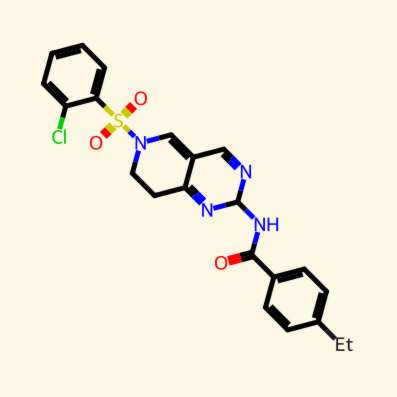 CCc1ccc(C(=O)NC2N=CC3=CN(S(=O)(=O)c4ccccc4Cl)CCC3=N2)cc1